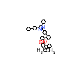 CC1(C)c2ccccc2-c2c1ccc1c2Oc2c(cccc2-c2ccccc2-c2ccc(-c3nc(-c4ccccc4)cc(-c4ccc(-c5ccccc5)cc4)n3)cc2)O1